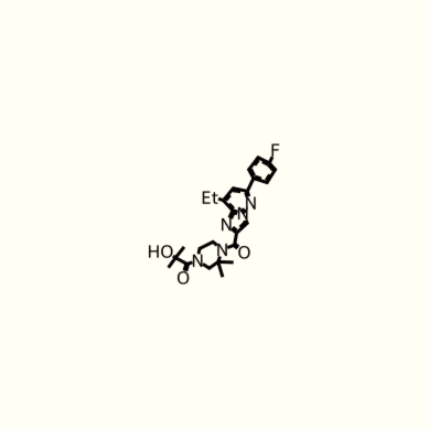 CCc1cc(-c2ccc(F)cc2)nn2cc(C(=O)N3CCN(C(=O)C(C)(C)O)CC3(C)C)nc12